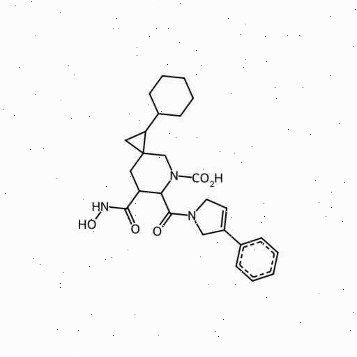 O=C(NO)C1CC2(CC2C2CCCCC2)CN(C(=O)O)C1C(=O)N1CC=C(c2ccccc2)C1